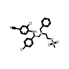 CS(=O)(=O)OCCN(Cc1ccccc1)C[C@H](Nc1ccc(C#N)cc1Cl)c1ccc(Cl)cc1